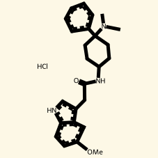 COc1ccc2[nH]cc(CC(=O)NC3CCC(c4ccccc4)(N(C)C)CC3)c2c1.Cl